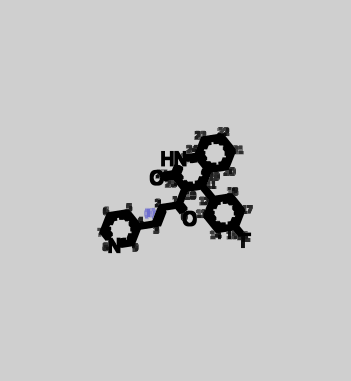 O=C(/C=C/c1cccnc1)c1c(-c2ccc(F)cc2)c2ccccc2[nH]c1=O